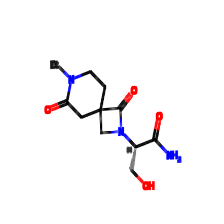 CCN1CCC2(CC1=O)CN([C@@H](CO)C(N)=O)C2=O